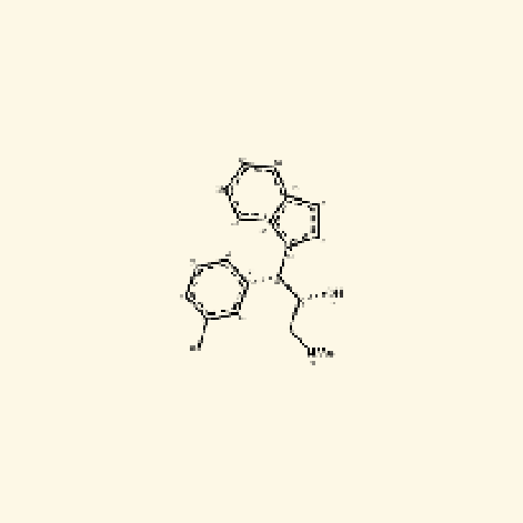 CNC[C@@H](O)[C@H](c1cccc(C)c1)n1ccc2ccccc21